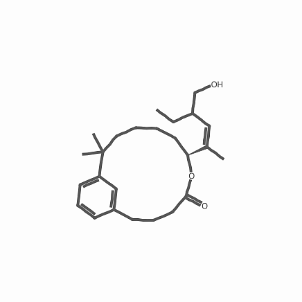 CCC(/C=C(/C)[C@@H]1CCCCC(C)(C)c2cccc(c2)CCCC(=O)O1)CO